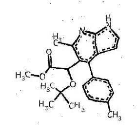 COC(=O)C(OC(C)(C)C)c1c(C)nc2[nH]ccc2c1-c1ccc(C)cc1